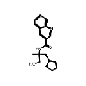 CC(CC1CCCC1)(CC(F)(F)F)NC(=O)c1cnc2ccccc2c1